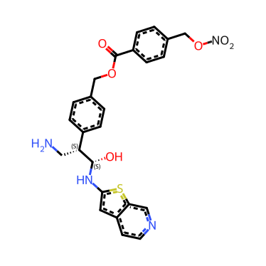 NC[C@H](c1ccc(COC(=O)c2ccc(CO[N+](=O)[O-])cc2)cc1)[C@H](O)Nc1cc2ccncc2s1